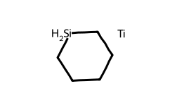 C1CC[SiH2]CC1.[Ti]